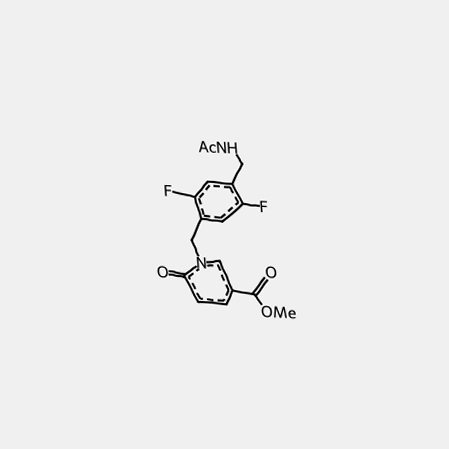 COC(=O)c1ccc(=O)n(Cc2cc(F)c(CNC(C)=O)cc2F)c1